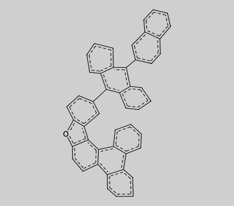 c1ccc2cc(-c3c4ccccc4c(-c4ccc5oc6ccc7c8ccccc8c8ccccc8c7c6c5c4)c4ccccc34)ccc2c1